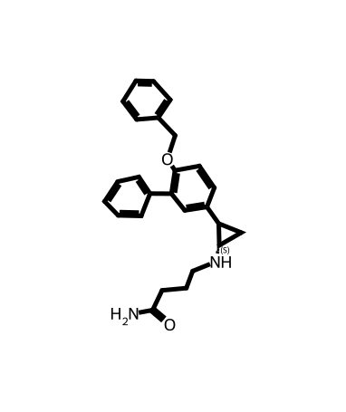 NC(=O)CCCN[C@H]1CC1c1ccc(OCc2ccccc2)c(-c2ccccc2)c1